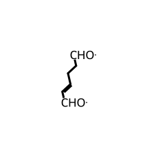 O=[C]C=CCC[C]=O